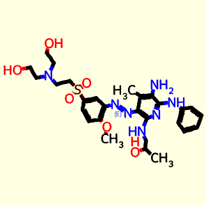 COc1ccc(S(=O)(=O)CCN(CCO)CCO)cc1/N=N/c1c(NCC(C)O)nc(Nc2ccccc2)c(N)c1C